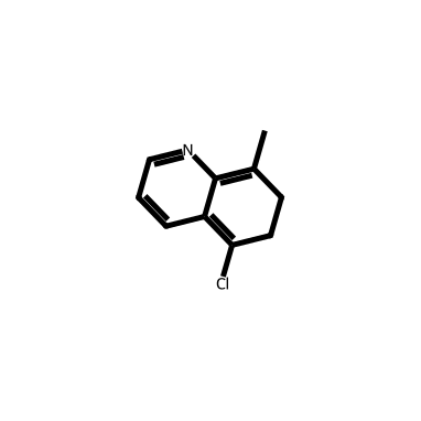 CC1=c2ncccc2=C(Cl)CC1